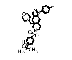 CC(C)(C)c1ccc(S(=O)(=O)N2CCC3=Cc4c(cnn4-c4ccc(F)cc4)CC3(CN3CCOCC3)C2)cc1